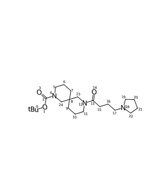 CC(C)(C)OC(=O)N1CCCC2(CCCN(C(=O)CCCN3CCCC3)C2)C1